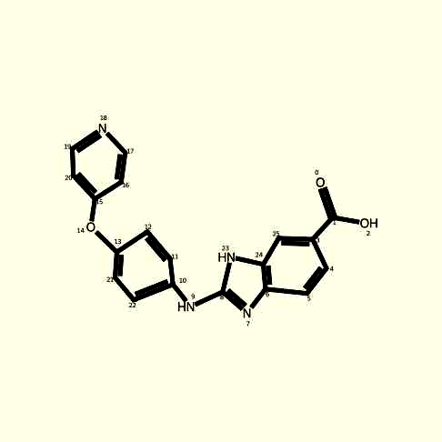 O=C(O)c1ccc2nc(Nc3ccc(Oc4ccncc4)cc3)[nH]c2c1